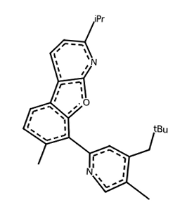 Cc1cnc(-c2c(C)ccc3c2oc2nc(C(C)C)ccc23)cc1CC(C)(C)C